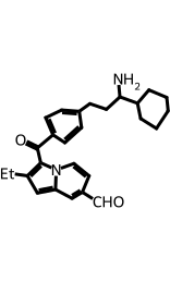 CCc1cc2cc(C=O)ccn2c1C(=O)c1ccc(CCC(N)C2CCCCC2)cc1